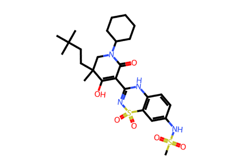 CC(C)(C)CCC1(C)CN(C2CCCCC2)C(=O)C(C2=NS(=O)(=O)c3cc(NS(C)(=O)=O)ccc3N2)=C1O